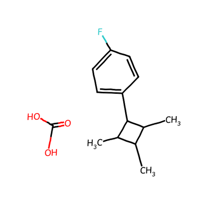 CC1C(C)C(c2ccc(F)cc2)C1C.O=C(O)O